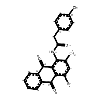 Cc1cc(Br)c2c(c1NC(=O)Cc1ccc(Cl)cc1)C(=O)c1ccccc1C2=O